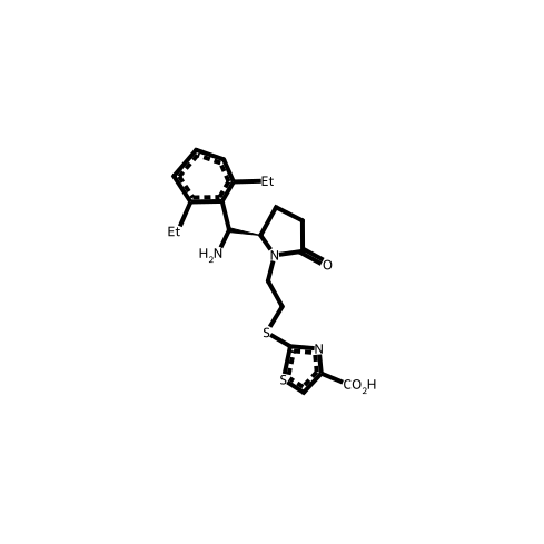 CCc1cccc(CC)c1C(N)[C@H]1CCC(=O)N1CCSc1nc(C(=O)O)cs1